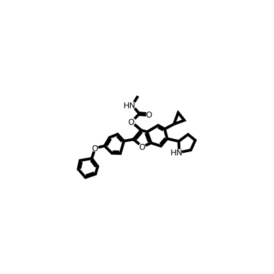 CNC(=O)Oc1c(-c2ccc(Oc3ccccc3)cc2)oc2cc(C3CCCN3)c(C3CC3)cc12